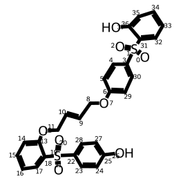 O=S(=O)(c1ccc(OCC=CCOc2ccccc2S(=O)(=O)c2ccc(O)cc2)cc1)c1ccccc1O